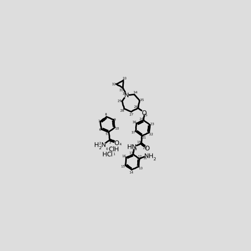 Cl.Cl.NC(=O)c1ccccc1.Nc1ccccc1NC(=O)c1ccc(OC2CCCN(C3CC3)CC2)cc1